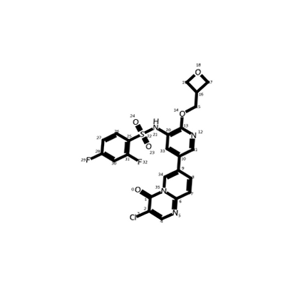 O=c1c(Cl)cnc2ccc(-c3cnc(OCC4COC4)c(NS(=O)(=O)c4ccc(F)cc4F)c3)cn12